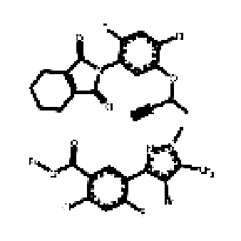 C#CC(C)Oc1cc(N2C(=O)C3=C(CCCC3)C2=O)c(F)cc1Cl.CC(C)OC(=O)c1cc(-c2nn(C)c(C(F)(F)F)c2Br)c(F)cc1Cl